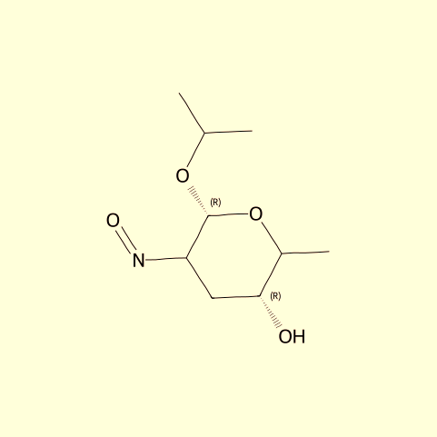 CC(C)O[C@@H]1OC(C)[C@H](O)CC1N=O